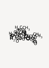 CC(C)Nc1nc(-c2cc(OC3C[C@@H](C(N)=O)N(C(=O)[C@@H](NC(=O)O[C@@H]4C[C@@H]5C[C@@H]5C4)C(C)(C)C)C3)c3ccc(OC[C@H]4COCCN4C(=O)OC(C)(C)C)c(Cl)c3n2)cs1